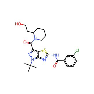 CC(C)(C)n1nc(C(=O)N2CCCCC2CCO)c2sc(NC(=O)c3cccc(Cl)c3)nc21